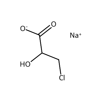 O=C([O-])C(O)CCl.[Na+]